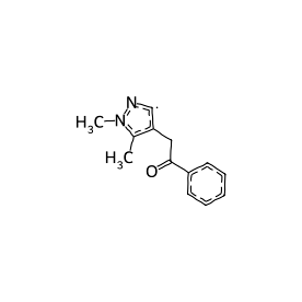 Cc1c(CC(=O)c2ccccc2)[c]nn1C